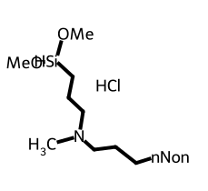 CCCCCCCCCCCCN(C)CCC[SiH](OC)OC.Cl